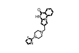 O=c1[nH]c2cc(CN3CCN(c4nccs4)CC3)cn2c2ccccc12